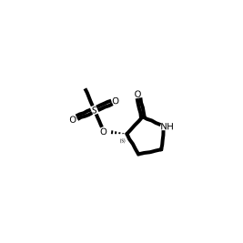 CS(=O)(=O)O[C@H]1CCNC1=O